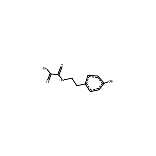 CCC(C)C(=O)C(=O)NCCc1ccc(O)cc1